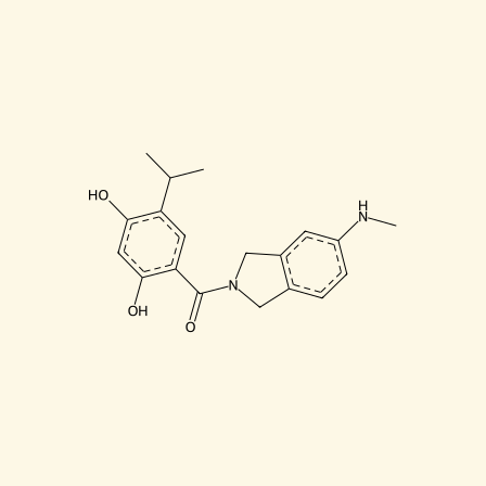 CNc1ccc2c(c1)CN(C(=O)c1cc(C(C)C)c(O)cc1O)C2